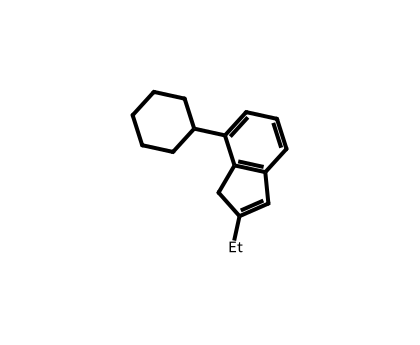 CCC1=Cc2cccc(C3CCCCC3)c2C1